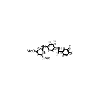 COc1cc(OC)nc(NC2CCC(NC(=O)c3ccc(F)c(F)c3)CC2)n1.Cl